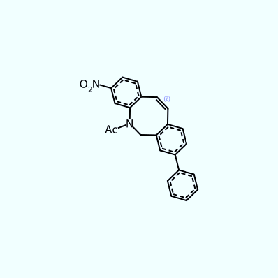 CC(=O)N1Cc2cc(-c3ccccc3)ccc2/C=C\c2ccc([N+](=O)[O-])cc21